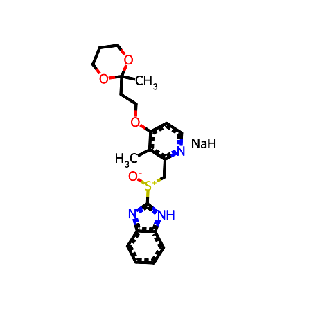 Cc1c(OCCC2(C)OCCCO2)ccnc1C[S+]([O-])c1nc2ccccc2[nH]1.[NaH]